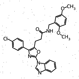 COc1ccc(OC)c(CNC(=O)CCc2oc(-n3cnc4ccccc43)nc2-c2ccc(Cl)cc2)c1